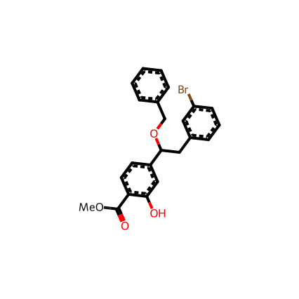 COC(=O)c1ccc(C(Cc2cccc(Br)c2)OCc2ccccc2)cc1O